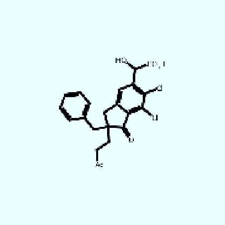 CC(=O)CCC1(Cc2ccccc2)Cc2cc(C(O)C(=O)O)c(Cl)c(Cl)c2C1=O